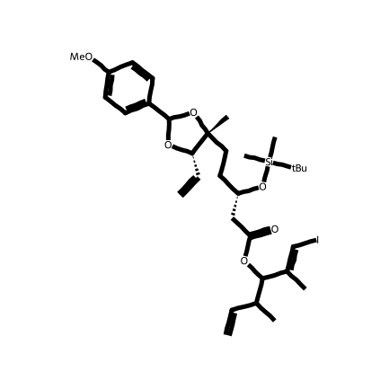 C=CC(C)C(OC(=O)C[C@H](CC[C@@]1(C)OC(c2ccc(OC)cc2)O[C@H]1C=C)O[Si](C)(C)C(C)(C)C)C(C)=CI